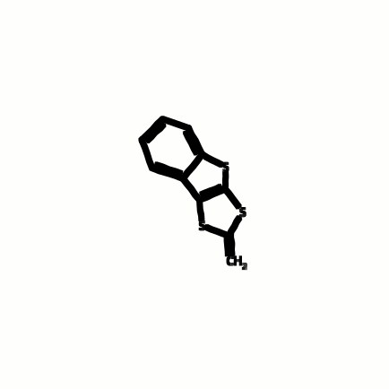 C=C1Sc2sc3ccccc3c2S1